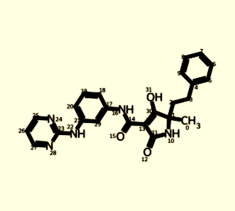 CC1(CCc2ccccc2)NC(=O)C(C(=O)Nc2cccc(Nc3ncccn3)c2)=C1O